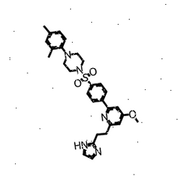 COc1cc(CCc2ncc[nH]2)nc(-c2ccc(S(=O)(=O)N3CCN(c4ccc(C)cc4C)CC3)cc2)c1